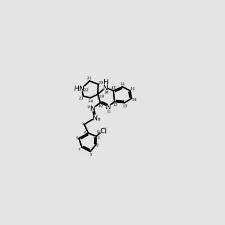 Clc1ccccc1CN=NC1=Nc2ccccc2NC12CCNCC2